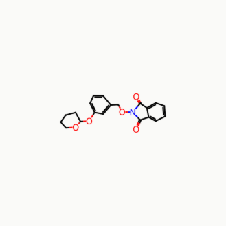 O=C1c2ccccc2C(=O)N1OCc1cccc(OC2CCCCO2)c1